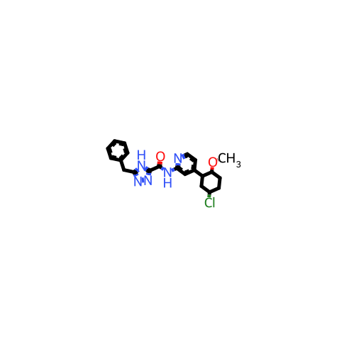 COC1CCC(Cl)CC1c1ccnc(NC(=O)c2nnc(Cc3ccccc3)[nH]2)c1